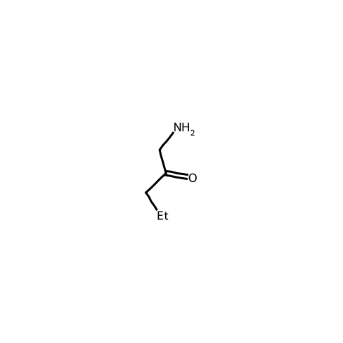 CCCC(=O)CN